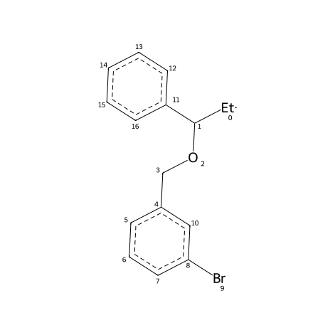 C[CH]C(OCc1cccc(Br)c1)c1ccccc1